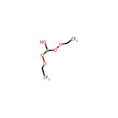 OB(OOCC(F)(F)F)OOCC(F)(F)F